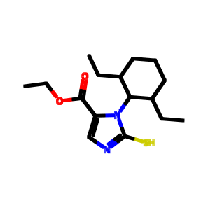 CCOC(=O)c1cnc(S)n1C1C(CC)CCCC1CC